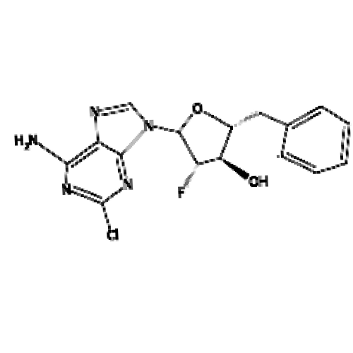 Nc1nc(Cl)nc2c1ncn2C1O[C@H](Cc2[c]cccc2)[C@@H](O)[C@@H]1F